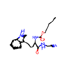 CCCCOC(=O)NC(Cc1c[nH]c2ccccc12)C(=O)NCC#N